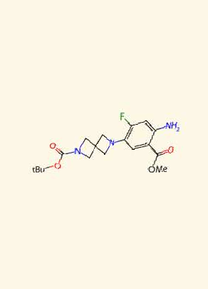 COC(=O)c1cc(N2CC3(CN(C(=O)OC(C)(C)C)C3)C2)c(F)cc1N